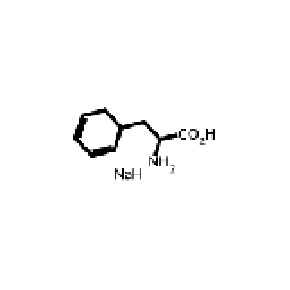 NC(CC1C=CC=CC1)C(=O)O.[NaH]